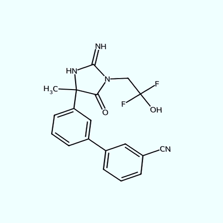 CC1(c2cccc(-c3cccc(C#N)c3)c2)NC(=N)N(CC(O)(F)F)C1=O